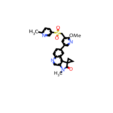 COc1ncc(-c2ccc3ncc4c(c3c2)C2(CC2)C(=O)N4C)cc1CS(=O)(=O)c1ccc(C)nc1